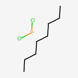 CCCCCCCC.Cl[P]Cl